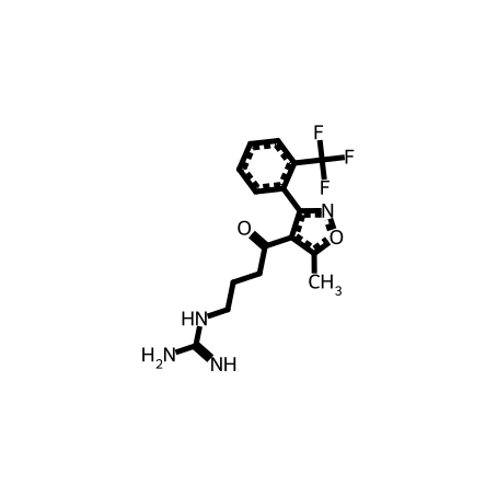 Cc1onc(-c2ccccc2C(F)(F)F)c1C(=O)CCCNC(=N)N